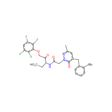 Cc1cc(Cc2ccccc2C(C)(C)C)c(=O)n(CC(=O)NC(CC(=O)O)C(=O)COc2c(F)c(F)cc(F)c2F)n1